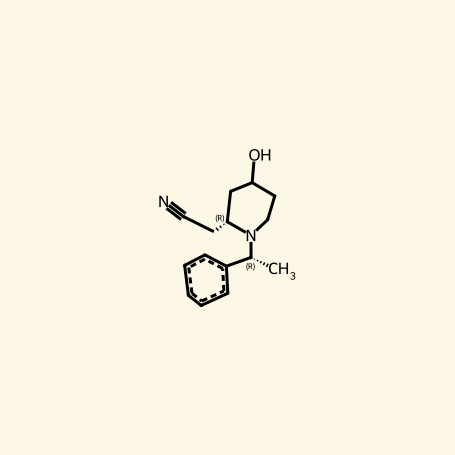 C[C@H](c1ccccc1)N1CCC(O)C[C@H]1CC#N